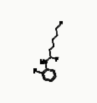 FCCCCCC(F)Nc1ccccc1F